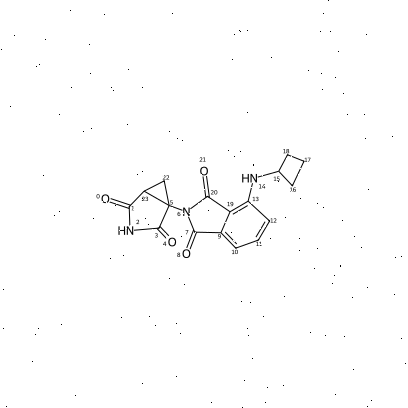 O=C1NC(=O)C2(N3C(=O)c4cccc(NC5CCC5)c4C3=O)CC12